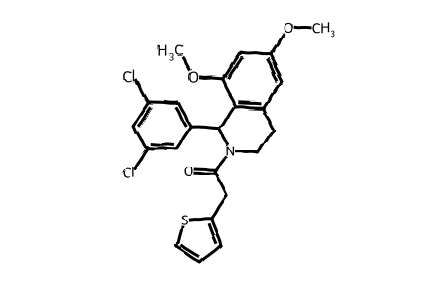 COc1cc2c(c(OC)c1)C(c1cc(Cl)cc(Cl)c1)N(C(=O)Cc1cccs1)CC2